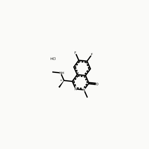 CN[C@H](C)c1nn(C)c(=O)c2cc(F)c(F)cc12.Cl